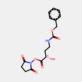 O=C(NCC[C@H](O)C(=O)ON1C(=O)CCC1=O)OCc1ccccc1